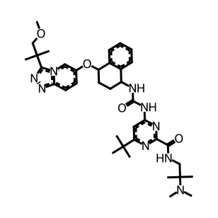 COCC(C)(C)c1nnc2ccc(OC3CCC(NC(=O)Nc4cc(C(C)(C)C)nc(C(=O)NCC(C)(C)N(C)C)n4)c4ccccc43)cn12